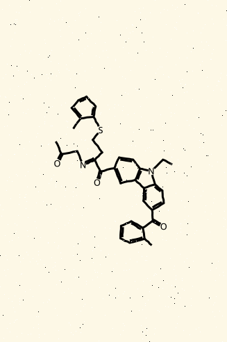 CCn1c2ccc(C(=O)/C(CCSc3ccccc3C)=N/CC(C)=O)cc2c2cc(C(=O)c3ccccc3C)ccc21